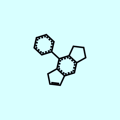 C1=Cc2cc3c(c(-c4ccccc4)c2C1)CCC3